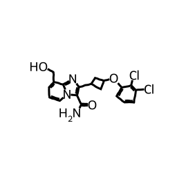 NC(=O)c1c(C2CC(Oc3cccc(Cl)c3Cl)C2)nc2c(CO)cccn12